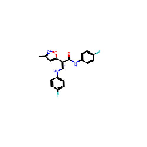 Cc1cc(/C(=C\Nc2ccc(F)cc2)C(=O)Nc2ccc(F)cc2)on1